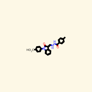 Cc1ccc(C(=O)NN/C=C2/C(=O)N(c3ccc(C(=O)O)cc3)c3ccccc32)cc1